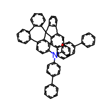 c1ccc(-c2ccc(N(c3ccc(-c4ccccc4)cc3)c3ccc4c(c3)C3(c5ccccc5-c5ccccc5-4)c4ccccc4-c4cc5ccccc5cc43)cc2)cc1